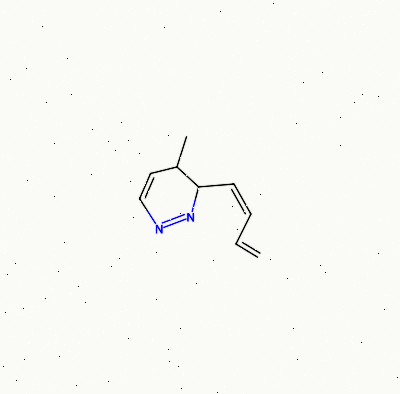 C=C/C=C\C1N=NC=CC1C